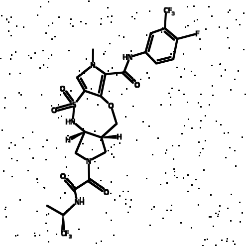 C[C@@H](NC(=O)C(=O)N1C[C@H]2COc3c(cn(C)c3C(=O)Nc3ccc(F)c(C(F)(F)F)c3)S(=O)(=O)N[C@H]2C1)C(F)(F)F